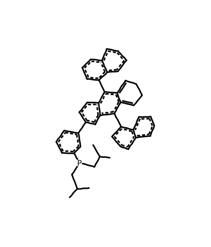 CC(C)CP(CC(C)C)c1cccc(-c2ccc3c(-c4cccc5ccccc45)c4c(c(-c5cccc6ccccc56)c3c2)=CCCC=4)c1